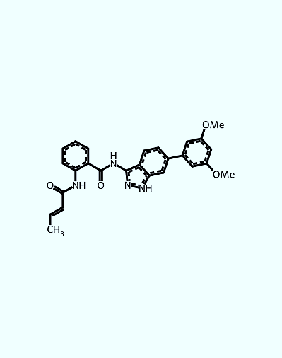 C/C=C/C(=O)Nc1ccccc1C(=O)Nc1n[nH]c2cc(-c3cc(OC)cc(OC)c3)ccc12